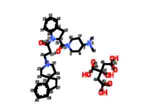 CN(C)C1CCN(C(=O)[C@@H]2Cc3ccccc3N2C(=O)CCN2CCC3(CCc4ccccc43)CC2)CC1.O=C(O)CC(O)(CC(=O)O)C(=O)O